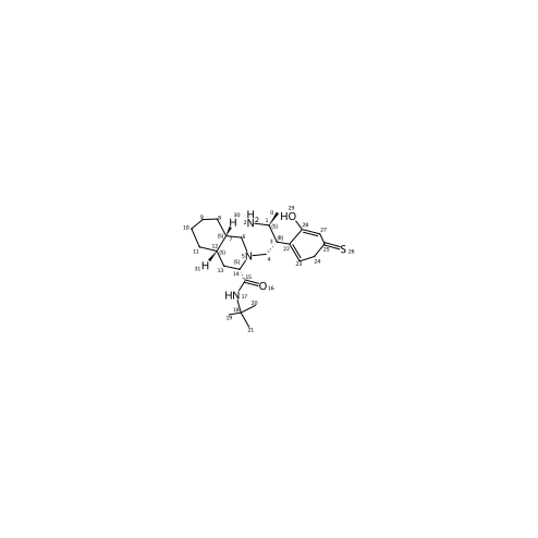 C[C@H](N)[C@@H](CN1C[C@H]2CCCC[C@H]2C[C@H]1C(=O)NC(C)(C)C)C1=CCC(=S)C=C1O